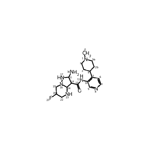 CN1CCC(c2ccncc2NC(=O)C2C(N)NN3CC(F)CNC23)CC1